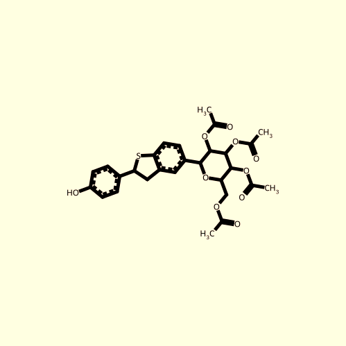 CC(=O)OCC1OC(c2ccc3c(c2)CC(c2ccc(O)cc2)S3)C(OC(C)=O)C(OC(C)=O)C1OC(C)=O